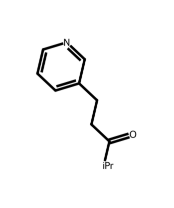 CC(C)C(=O)CCc1cccnc1